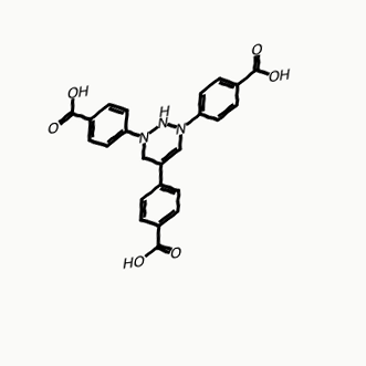 O=C(O)c1ccc(C2=CN(c3ccc(C(=O)O)cc3)NN(c3ccc(C(=O)O)cc3)C2)cc1